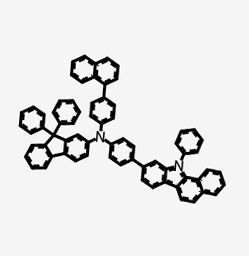 c1ccc(-n2c3cc(-c4ccc(N(c5ccc(-c6cccc7ccccc67)cc5)c5ccc6c(c5)C(c5ccccc5)(c5ccccc5)c5ccccc5-6)cc4)ccc3c3ccc4ccccc4c32)cc1